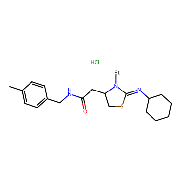 CCN1/C(=N/C2CCCCC2)SCC1CC(=O)NCc1ccc(C)cc1.Cl